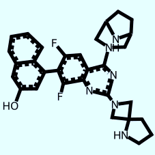 Oc1cc(-c2c(F)cc3c(N4CC5CCC(C4)N5)nc(N4CC5(CCCN5)C4)nc3c2F)c2ccccc2c1